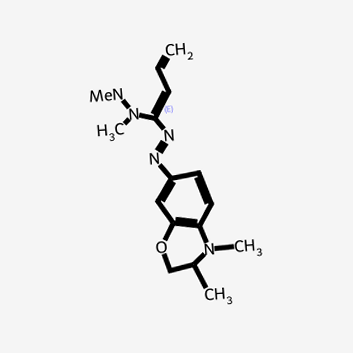 C=C/C=C(/N=Nc1ccc2c(c1)OCC(C)N2C)N(C)NC